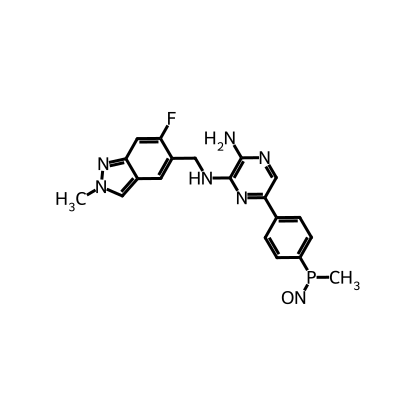 Cn1cc2cc(CNc3nc(-c4ccc(P(C)N=O)cc4)cnc3N)c(F)cc2n1